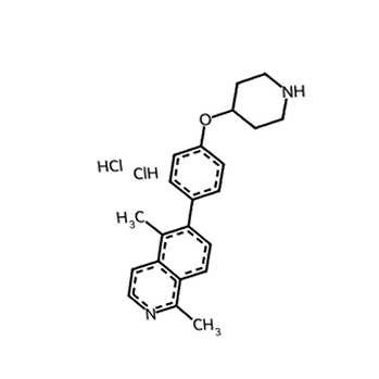 Cc1nccc2c(C)c(-c3ccc(OC4CCNCC4)cc3)ccc12.Cl.Cl